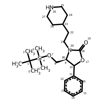 CC(C)(C)[Si](C)(C)OC[C@@H]1C(c2ccccc2)OC(=O)N1CCC1CCNCC1